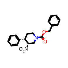 O=C(OCc1ccccc1)N1CC[C@@H](c2ccccc2)[C@H]([N+](=O)[O-])C1